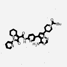 CC(C)(C)C(=O)N1CCC(c2cc(-c3ccc(NC(=O)c4c5n(n(-c6ccccn6)c4=O)CCCC5)nc3)c3c(N)ncnn23)CC1